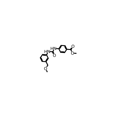 COCc1cccc(NC(=O)Nc2ccc(C(=O)OC)cc2)c1